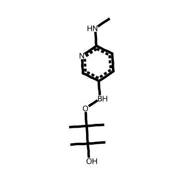 CNc1ccc(BOC(C)(C)C(C)(C)O)cn1